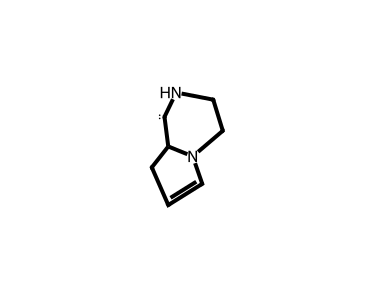 [C]1NCCN2C=CCC12